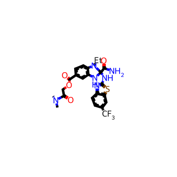 CCN1c2ccc(C(=O)OCC(=O)N(C)C)cc2NC1(Nc1nc2ccc(C(F)(F)F)cc2s1)C(N)=O